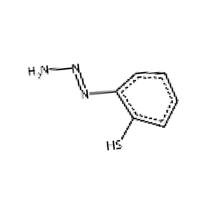 NN=Nc1ccccc1S